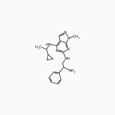 CC(Nc1nc(NCC(N)c2ccccc2)nc2c1cnn2C)C1CC1